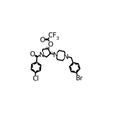 O=C(c1ccc(Cl)cc1)N1C[C@H](OC(=O)C(F)(F)F)[C@@H](N2CCN(Cc3ccc(Br)cc3)CC2)C1